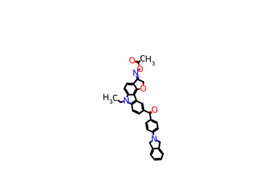 CCn1c2ccc(C(=O)c3ccc(N4Cc5ccccc5C4)cc3)cc2c2c3c(ccc21)/C(=N/OC(C)=O)CO3